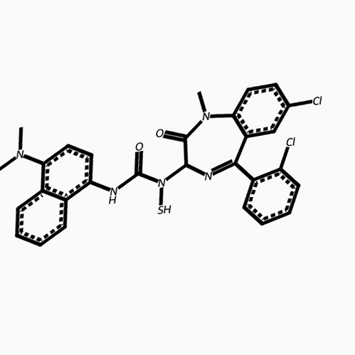 CN(C)c1ccc(NC(=O)N(S)C2N=C(c3ccccc3Cl)c3cc(Cl)ccc3N(C)C2=O)c2ccccc12